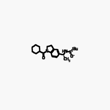 C[C@@H](N[S@+]([O-])C(C)(C)C)c1ccc2c(c1)CCN2C(=O)C1CCCCC1